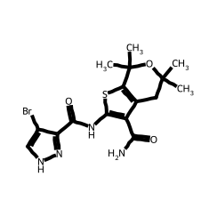 CC1(C)Cc2c(sc(NC(=O)c3n[nH]cc3Br)c2C(N)=O)C(C)(C)O1